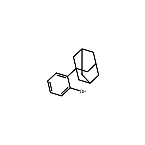 Oc1cc[c]cc1C12CC3CC(CC(C3)C1)C2